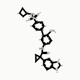 Cc1ccc(NC(=O)C2(c3ccc4c(c3)OCO4)CC2)cc1-c1ccc(S(=O)(=O)NC2CCC2)cc1